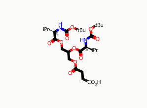 CC(C)[C@H](NC(=O)OC(C)(C)C)C(=O)OCC(COC(=O)CCC(=O)O)OC(=O)[C@@H](NC(=O)OC(C)(C)C)C(C)C